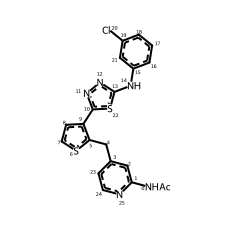 CC(=O)Nc1cc(Cc2sccc2-c2nnc(Nc3cccc(Cl)c3)s2)ccn1